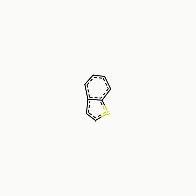 [c]1ccc2s[c]cc2c1